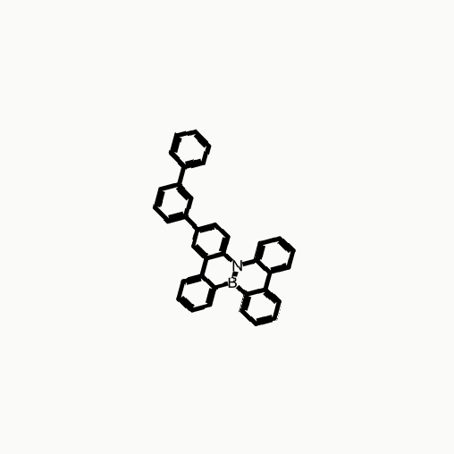 c1ccc(-c2cccc(-c3ccc4c(c3)-c3ccccc3B3c5ccccc5-c5ccccc5N34)c2)cc1